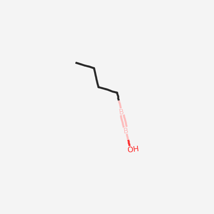 CCCCB=BO